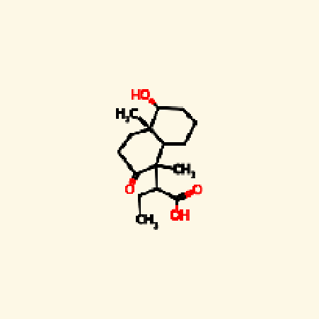 CCC(C(=O)O)C1(C)C(=O)CC[C@@]2(C)C1CCC[C@@H]2O